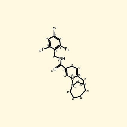 O=C(NCc1c(F)cc(F)cc1F)C1=CN2C(=CC1)CN1CCCCN2C1